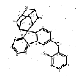 c1ccc2c(c1)Oc1ccc3c(c1S2)-c1ccccc1C31C2CC3CC(C2)CC1C3